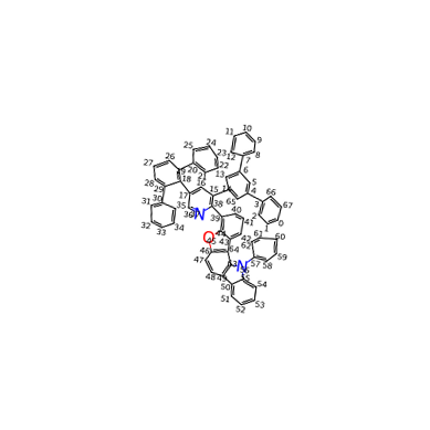 c1ccc(-c2cc(-c3ccccc3)cc(-c3cc(-c4c(-c5ccccc5)cccc4-c4ccccc4)cnc3-c3cccc4c3oc3ccc5c6ccccc6n(-c6ccccc6)c5c34)c2)cc1